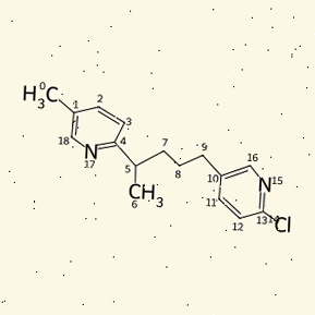 Cc1ccc(C(C)CCCc2ccc(Cl)nc2)nc1